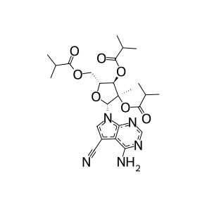 CC(C)C(=O)OC[C@H]1O[C@@H](n2cc(C#N)c3c(N)ncnc32)[C@](C)(OC(=O)C(C)C)[C@@H]1OC(=O)C(C)C